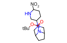 CC(C)(C)OC(=O)N1C2CCC1CN(C1CCC([N+](=O)[O-])NC1)C2